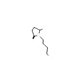 O=CC1CCC(=O)N1CCCCCl